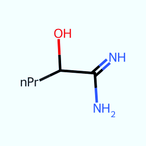 CCCC(O)C(=N)N